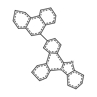 c1ccc2c(c1)cc(-c1ccc3c(c1)c1ccccc1n1c4ccccc4nc31)c1ccccc12